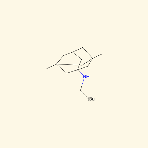 CC(C)(C)CNC12CC3CC(C)(CC(C)(C3)C1)C2